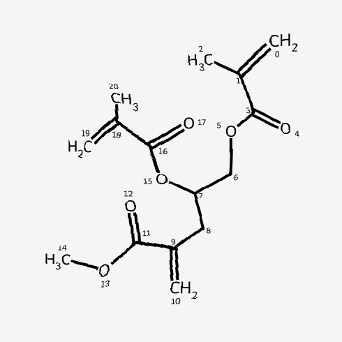 C=C(C)C(=O)OCC(CC(=C)C(=O)OC)OC(=O)C(=C)C